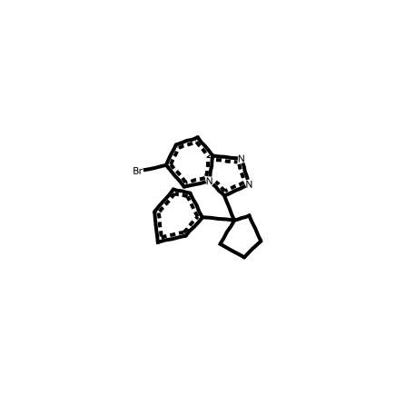 Brc1ccc2nnc(C3(c4ccccc4)CCCC3)n2c1